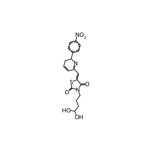 O=C1S/C(=C\C2=NC(c3ccc([N+](=O)[O-])cc3)CC=C2)C(=O)N1CCCC(O)O